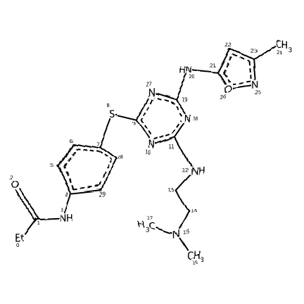 CCC(=O)Nc1ccc(Sc2nc(NCCN(C)C)nc(Nc3cc(C)no3)n2)cc1